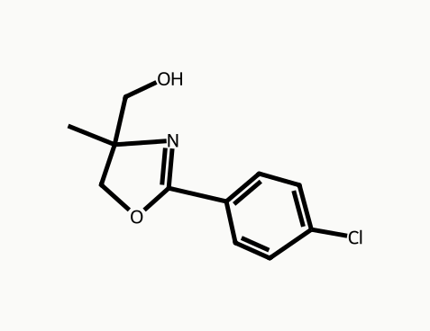 CC1(CO)COC(c2ccc(Cl)cc2)=N1